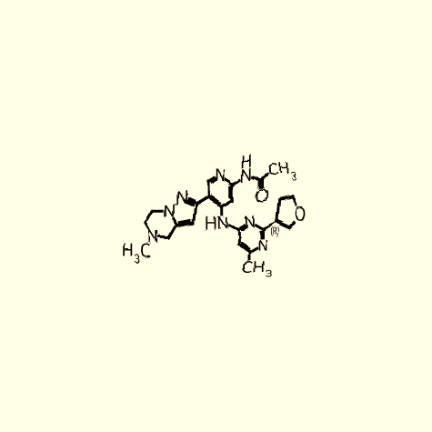 CC(=O)Nc1cc(Nc2cc(C)nc([C@H]3CCOC3)n2)c(-c2cc3n(n2)CCN(C)C3)cn1